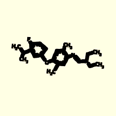 CCN(C=Nc1cc(C)c(Oc2ccc(F)c(C(C)C)c2)cc1C)CC